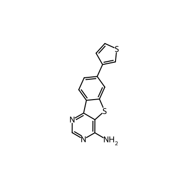 Nc1ncnc2c1sc1cc(-c3ccsc3)ccc12